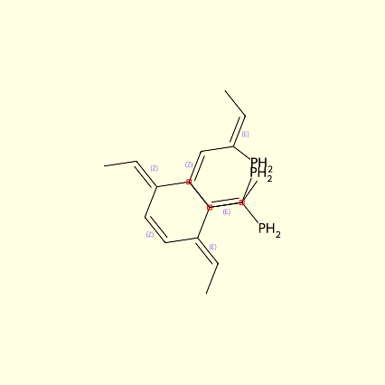 C\C=C(/C=C\C(=C/C)C(\C=C/C(P)=C\C)=C\C)CCC(P)P